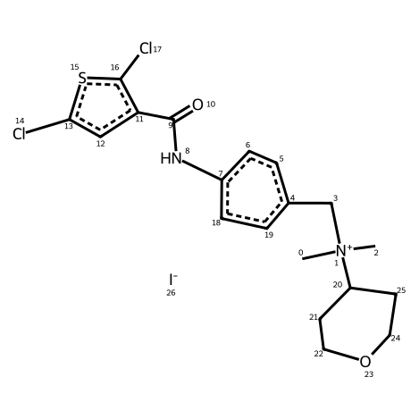 C[N+](C)(Cc1ccc(NC(=O)c2cc(Cl)sc2Cl)cc1)C1CCOCC1.[I-]